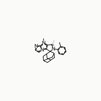 Cc1ccccc1N1[C@@H](C)c2c(n3ccnc3n2C)C12C1CC3CC(C1)CC2C3